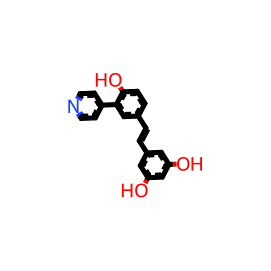 Oc1cc(O)cc(C=Cc2ccc(O)c(-c3ccncc3)c2)c1